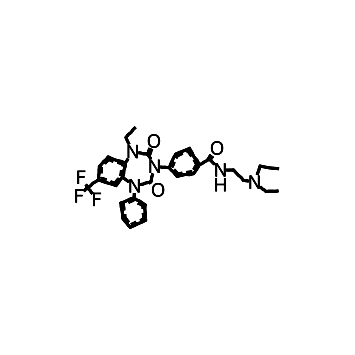 CCN(CC)CCNC(=O)c1ccc(N2C(=O)N(CC)c3ccc(C(F)(F)F)cc3N(c3ccccc3)C2=O)cc1